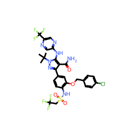 CC(C)(C)n1nc(-c2ccc(NS(=O)(=O)CC(F)(F)F)c(OCc3ccc(Cl)cc3)c2)c(C(N)=O)c1Nc1cnc(C(F)(F)F)cn1